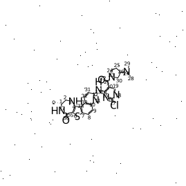 C[C@@H]1CNc2c(sc3ccc4nc(Nc5nc(Cl)ncc5C(=O)N5CCC(N(C)C)C5)ccc4c23)C(=O)N1